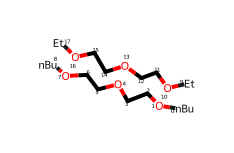 CCCCOCCOCCOCCCC.CCOCCOCCOCC